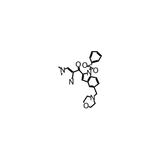 CN(C)C=C(C#N)C(=O)c1cc2cc(CN3CCOCC3)ccc2n1S(=O)(=O)c1ccccc1